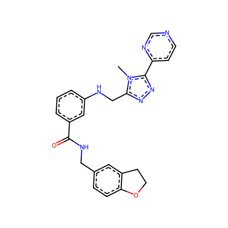 Cn1c(CNc2cccc(C(=O)NCc3ccc4c(c3)CCO4)c2)nnc1-c1ccncn1